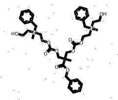 CC(COC(=O)OCC[N+](C)(CCO)Cc1ccccc1)(COC(=O)OCC[N+](C)(CCO)Cc1ccccc1)C(=O)OCc1ccccc1